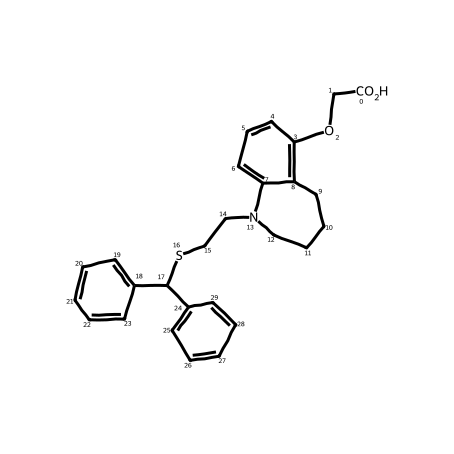 O=C(O)COc1cccc2c1CCCCN2CCSC(c1ccccc1)c1ccccc1